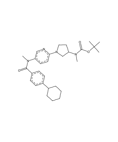 CN(C(=O)c1ccc(C2CCCCC2)cc1)c1ccc(N2CCC(N(C)C(=O)OC(C)(C)C)C2)nc1